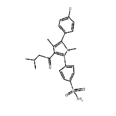 Cc1c(C(=O)CC(C)C)c(-c2ccc(S(N)(=O)=O)cc2)n(C)c1-c1ccc(Cl)cc1